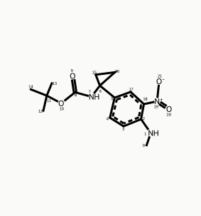 CNc1ccc(C2(NC(=O)OC(C)(C)C)CC2)cc1[N+](=O)[O-]